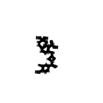 Cc1cc(C(=O)N2CC(Oc3ccc4c(c3C(=O)O)O[B-](O)(O)CC4)C2)ccc1O